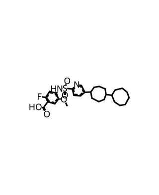 COc1cc(C(=O)O)c(F)cc1NS(=O)(=O)c1ccc(C2CCCC(C3CCCCCCC3)CCC2)cn1